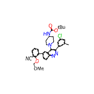 COCOc1c(C#N)cccc1-c1ccc2nnc(-c3cc(C)cc(Cl)c3)c(N3CCC(NC(=O)OC(C)(C)C)CC3)c2c1